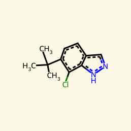 CC(C)(C)c1ccc2cn[nH]c2c1Cl